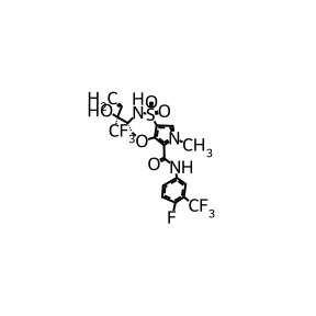 C=C[C@](O)([C@H]1COc2c(cn(C)c2C(=O)Nc2ccc(F)c(C(F)(F)F)c2)S(=O)(=O)N1)C(F)(F)F